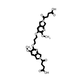 COc1cc2c(nc1OCCCOc1cc3c(nc1OC)CN(C(=O)CCC(=O)O)C3)CN(C(=O)CCC(=O)O)C2